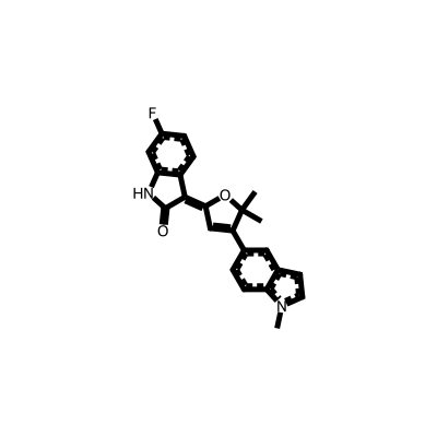 Cn1ccc2cc(C3=CC(=C4C(=O)Nc5cc(F)ccc54)OC3(C)C)ccc21